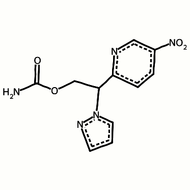 NC(=O)OCC(c1ccc([N+](=O)[O-])cn1)n1cccn1